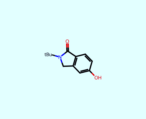 CC(C)(C)N1Cc2cc(O)ccc2C1=O